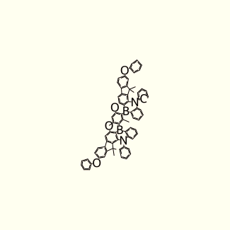 Cc1c2c(cc3c1B1c4ccccc4N(c4ccccc4)c4c1c(cc1c4C(C)(C)c4cc(Oc5ccccc5)ccc4-1)O3)Oc1cc3c(c4c1B2c1ccccc1N4c1ccccc1)C(C)(C)c1cc(Oc2ccccc2)ccc1-3